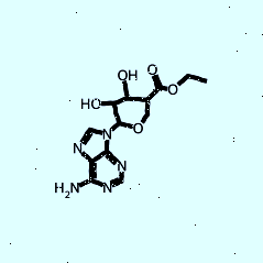 CCOC(=O)C1COC(n2cnc3c(N)ncnc32)C(O)C1O